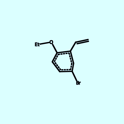 C=Cc1cc(Br)ccc1OCC